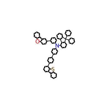 c1ccc(C2(c3ccccc3)c3ccccc3-c3c(N(c4ccc(-c5ccc(-c6cccc7c6sc6ccccc67)cc5)cc4)c4cccc(-c5ccc6oc7ccccc7c6c5)c4)cccc32)cc1